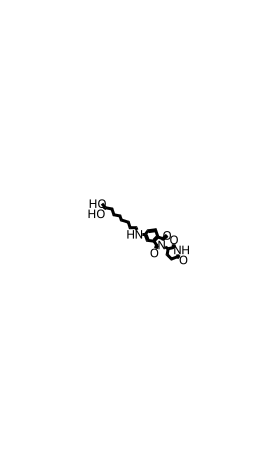 O=C1CCC(N2C(=O)c3ccc(NCCCCCCCC(O)O)cc3C2=O)C(=O)N1